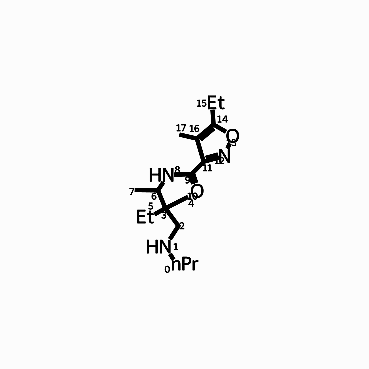 CCCNCC(C)(CC)C(C)NC(=O)c1noc(CC)c1C